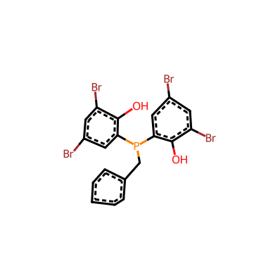 Oc1c(Br)cc(Br)cc1P(Cc1ccccc1)c1cc(Br)cc(Br)c1O